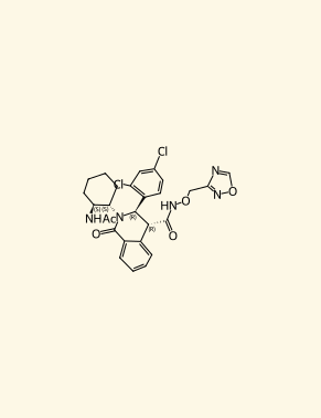 CC(=O)N[C@H]1CCCC[C@@H]1N1C(=O)c2ccccc2[C@@H](C(=O)NOCc2ncon2)[C@@H]1c1ccc(Cl)cc1Cl